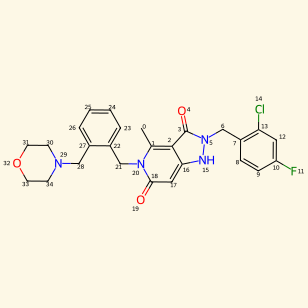 Cc1c2c(=O)n(Cc3ccc(F)cc3Cl)[nH]c2cc(=O)n1Cc1ccccc1CN1CCOCC1